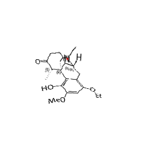 CCOc1cc(OC)c(O)c2c1C[C@@H]1[C@@H]3CCC(=O)[C@@H](C)[C@]23CCN1C